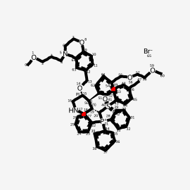 COCCCN1CCOc2ccc(CO[C@H]3CNC[C@@H](C([P+](c4ccccc4)(c4ccccc4)c4ccccc4)S(=O)(=O)c4ccc(C)cc4)[C@@H]3c3ccc(COCCOC)cc3)cc21.[Br-]